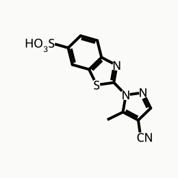 Cc1c(C#N)cnn1-c1nc2ccc(S(=O)(=O)O)cc2s1